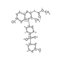 COC(=O)Cc1cc2ccc(Cl)cc2c(-c2ccc(S(=O)(=O)c3cccc(Cl)c3)cc2)c1C